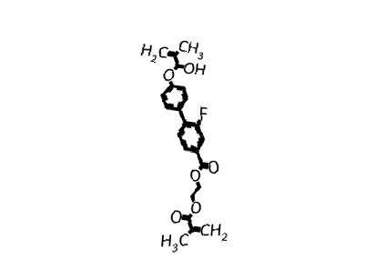 C=C(C)C(=O)OCCOC(=O)c1ccc(-c2ccc(OC(O)C(=C)C)cc2)c(F)c1